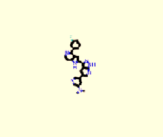 CN(C)c1cncc(-c2cnc3[nH]nc(-c4cc5c(-c6cccc(F)c6)nccc5[nH]4)c3c2)c1